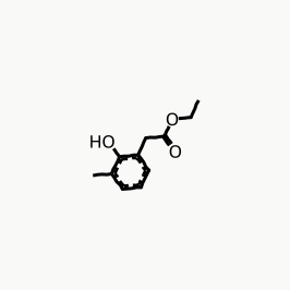 CCOC(=O)Cc1cccc(C)c1O